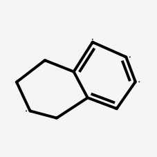 [c]1[c]cc2c([c]1)CC[CH]C2